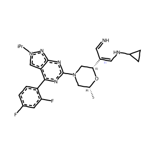 CC(C)n1cc2c(-c3ccc(F)cc3F)nc(N3C[C@@H](C)O[C@@H](/C(C=N)=C/NC4CC4)C3)nc2n1